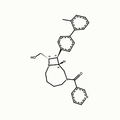 Cc1ccccc1-c1ccc([C@@H]2[C@@H](CO)N3CCCCN(C(=O)c4cccnc4)C[C@@H]23)cc1